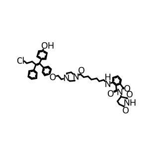 O=C1CCC(N2C(=O)c3cccc(NCCCCCCC(=O)N4CCN(CCOc5ccc(C(=C(CCCl)c6ccccc6)c6ccc(O)cc6)cc5)CC4)c3C2=O)C(=O)N1